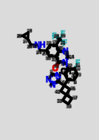 Cn1cnnc1C1(c2ccc(F)c(-n3cnc4c(C(F)(F)F)cc(CNCC5CC5)cc4c3=O)c2)CC2(CCC2)C1